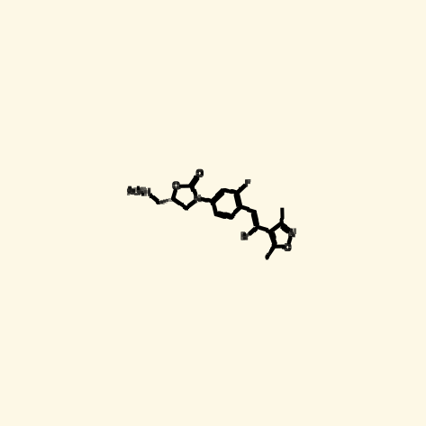 CC(=O)NC[C@H]1CN(c2ccc(/C=C(\Br)c3c(C)noc3C)c(F)c2)C(=O)O1